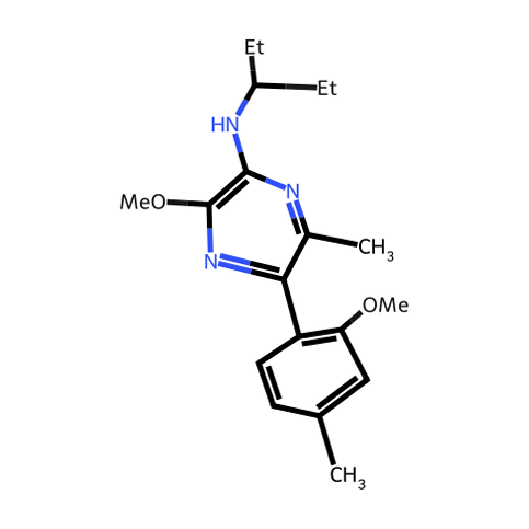 CCC(CC)Nc1nc(C)c(-c2ccc(C)cc2OC)nc1OC